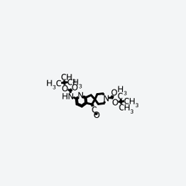 CC(C)(C)OC(=O)Nc1ccc2c(n1)CC1(CCN(C(=O)OC(C)(C)C)CC1)C2=C=O